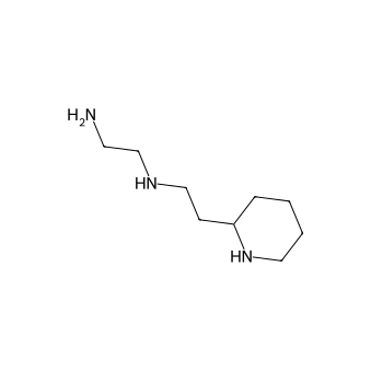 NCCNCCC1CCCCN1